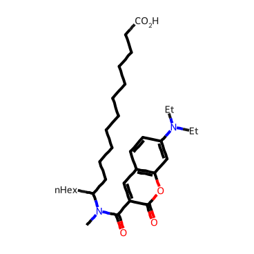 CCCCCCC(CCCCCCCCCCC(=O)O)N(C)C(=O)c1cc2ccc(N(CC)CC)cc2oc1=O